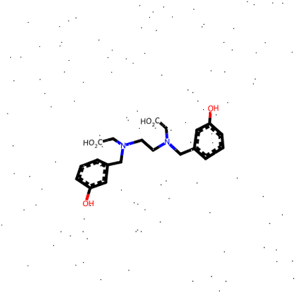 O=C(O)CN(CCN(CC(=O)O)Cc1cccc(O)c1)Cc1cccc(O)c1